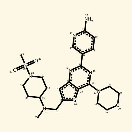 CN(Cc1cc2nc(-c3ccc(N)nc3)nc(N3CCOCC3)c2s1)C1CCN(S(C)(=O)=O)CC1